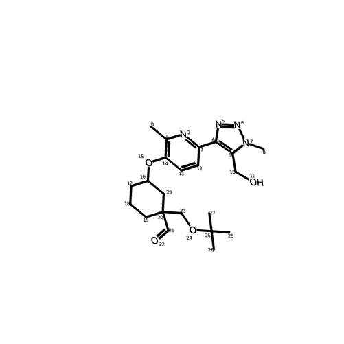 Cc1nc(-c2nnn(C)c2CO)ccc1OC1CCCC(C=O)(COC(C)(C)C)C1